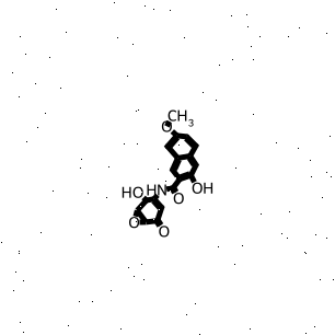 COc1ccc2cc(O)c(C(=O)NC3=CC(=O)C4OC4C3O)cc2c1